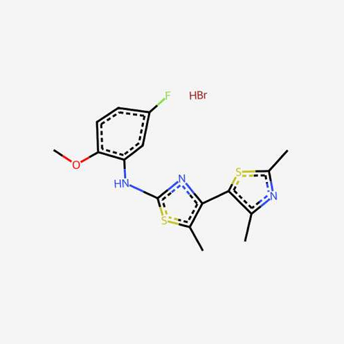 Br.COc1ccc(F)cc1Nc1nc(-c2sc(C)nc2C)c(C)s1